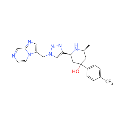 C[C@H]1CC(O)(c2ccc(C(F)(F)F)cc2)C[C@@H](c2cn(Cc3cnc4cnccn34)nn2)N1